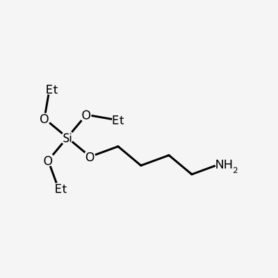 CCO[Si](OCC)(OCC)OCCCCN